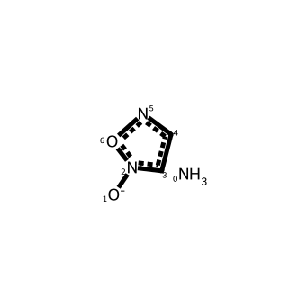 N.[O-][n+]1ccno1